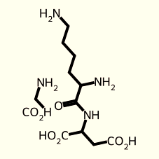 NCC(=O)O.NCCCCC(N)C(=O)NC(CC(=O)O)C(=O)O